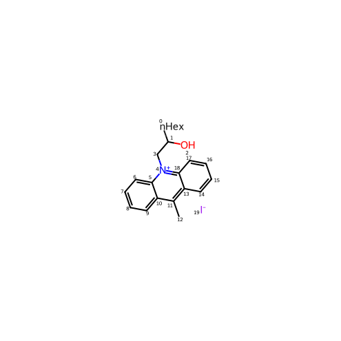 CCCCCCC(O)C[n+]1c2ccccc2c(C)c2ccccc21.[I-]